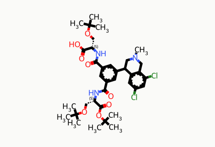 CN1Cc2c(Cl)cc(Cl)cc2C(c2cc(C(=O)N[C@@H](COC(C)(C)C)C(=O)O)cc(C(=O)N[C@@H](COC(C)(C)C)C(=O)OC(C)(C)C)c2)C1